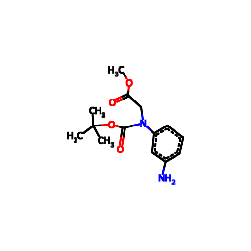 COC(=O)CN(C(=O)OC(C)(C)C)c1cccc(N)c1